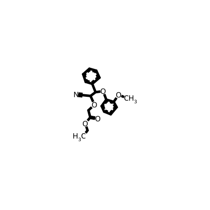 CCOC(=O)COC(C#N)C(Oc1ccccc1OC)c1ccccc1